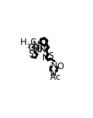 CC(=O)N1CCN(Cc2cnc(-c3cc4cccc(N(C)S(=O)(=O)C5=CCCS5)c4[nH]3)s2)C(=O)C1